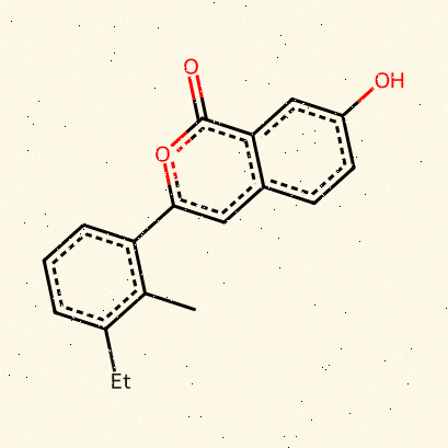 CCc1cccc(-c2cc3ccc(O)cc3c(=O)o2)c1C